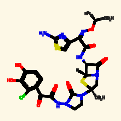 CCC[C@H](O/N=C(\C(=O)N[C@@H]1C(=O)N2C[C@@](C(=O)O)(N3CCN(NC(=O)C(=O)c4ccc(O)c(O)c4Cl)C3=O)S[C@H]12)c1csc(N)n1)C(=O)O